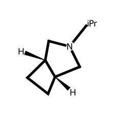 CC(C)N1C[C@H]2CC[C@H]2C1